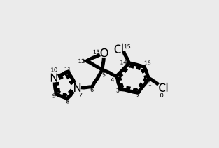 Clc1ccc(C2(Cn3ccnc3)CO2)c(Cl)c1